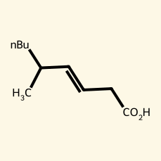 CCCCC(C)C=CCC(=O)O